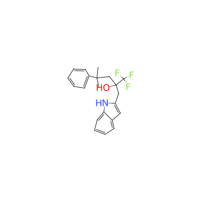 CC(C)(CC(O)(Cc1cc2ccccc2[nH]1)C(F)(F)F)c1ccccc1